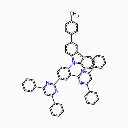 Cc1ccc(-c2ccc3c(c2)c2ccccc2n3-c2ccc(-c3nc(-c4ccccc4)cc(-c4ccccc4)n3)cc2-c2nc(-c3ccccc3)cc(-c3ccccc3)n2)cc1